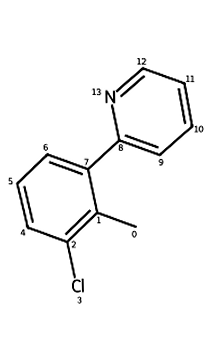 Cc1c(Cl)cccc1-c1ccccn1